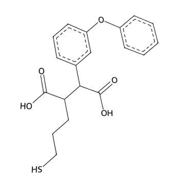 O=C(O)C(CCCS)C(C(=O)O)c1cccc(Oc2ccccc2)c1